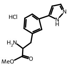 COC(=O)C(N)Cc1cccc(-c2ccn[nH]2)c1.Cl